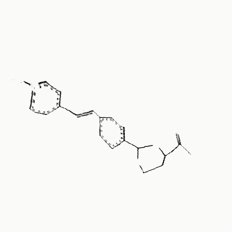 C=C(C)C1CCOC(c2ccc(/C=C/c3cc[n+](C)cc3)cc2)O1